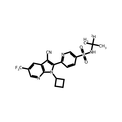 [2H]C(C)(C)NS(=O)(=O)c1ccc(-c2c(C#N)c3cc(C(F)(F)F)cnc3n2C2CCC2)nc1